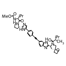 COC(=O)N[C@H](C(=O)N1CCC[C@H]1c1ncc(-c2ccc(C#Cc3ccc4nc([C@@H]5C[C@]6(CCCO6)CN5C(=O)[C@@H](C)C(C)C)[nH]c4c3)cc2)[nH]1)C(C)C